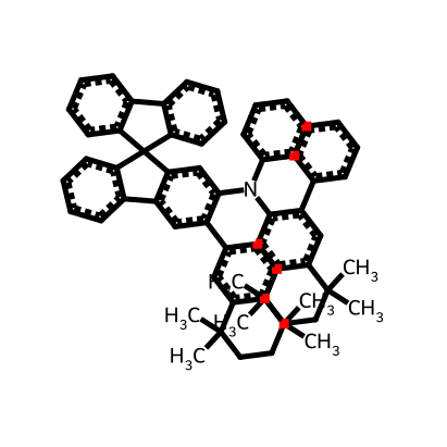 CC1(C)CCC(C)(C)c2cc(-c3cc4c(cc3N(c3ccccc3)c3cc5c(cc3-c3ccccc3)C(C)(C)CCC5(C)C)C3(c5ccccc5-c5ccccc53)c3ccccc3-4)ccc21